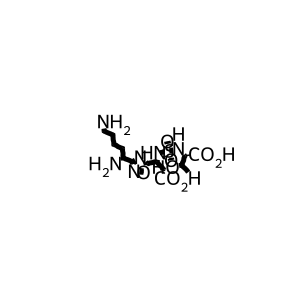 CC(O)[C@H](NS(=O)(=O)NC(CC(=O)O)c1nc([C@@H](N)CCCCN)no1)C(=O)O